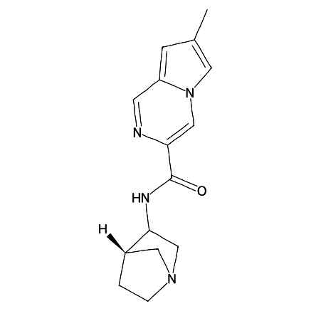 Cc1cc2cnc(C(=O)NC3CN4CC[C@H]3C4)cn2c1